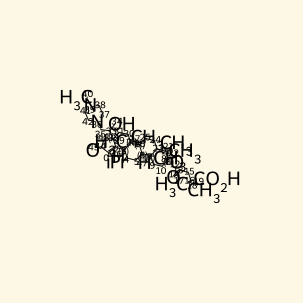 CC(C)C1=C2[C@H]3CC[C@@H]4[C@@]5(C)CC[C@H](OC(=O)CC(C)(C)C(=O)O)C(C)(C)C5CC[C@@]4(C)[C@]3(C)CC[C@@]2(C(O)CN2CCN(C)CC2)CC1=O